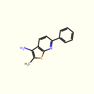 Cc1sc2nc(-c3ccccc3)ccc2c1N